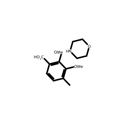 C1COCCN1.COc1c(C)ccc(C(=O)O)c1OC